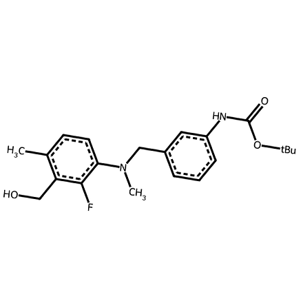 Cc1ccc(N(C)Cc2cccc(NC(=O)OC(C)(C)C)c2)c(F)c1CO